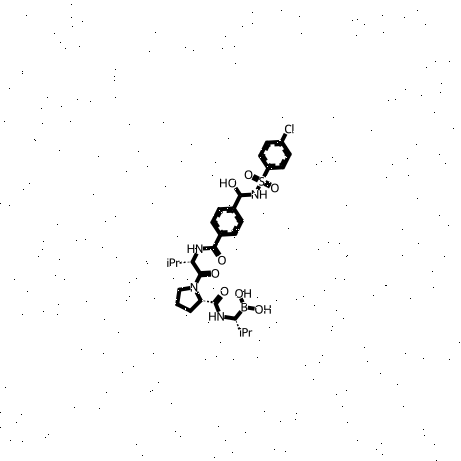 CC(C)[C@H](NC(=O)[C@@H]1CCCN1C(=O)[C@@H](NC(=O)c1ccc(C(O)NS(=O)(=O)c2ccc(Cl)cc2)cc1)C(C)C)B(O)O